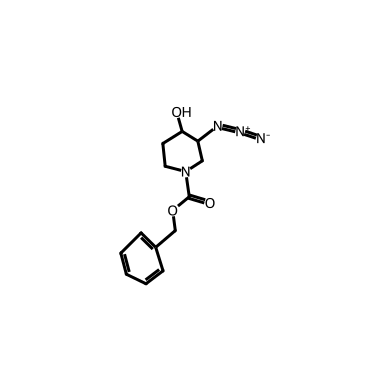 [N-]=[N+]=NC1CN(C(=O)OCc2ccccc2)CCC1O